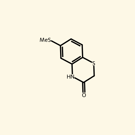 CSc1ccc2c(c1)NC(=O)CS2